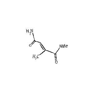 CNC(=O)C(C)=CC(N)=O